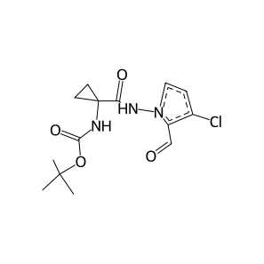 CC(C)(C)OC(=O)NC1(C(=O)Nn2ccc(Cl)c2C=O)CC1